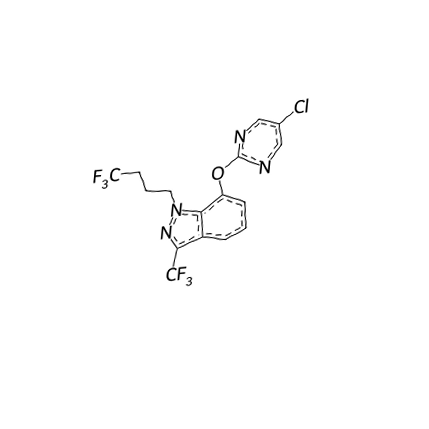 FC(F)(F)CCCn1nc(C(F)(F)F)c2cccc(Oc3ncc(Cl)cn3)c21